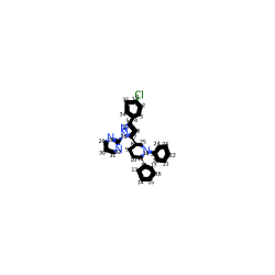 Clc1ccc(-c2cc([C@@H]3CC[C@@H](c4ccccc4)N(c4ccccc4)C3)n(-c3ncccn3)n2)cc1